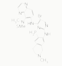 CSN(C)c1c(Nc2nc(Nc3cc4c(cc3P)CCN(C)C4)ncc2Br)ccc2nccnc12